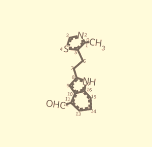 Cc1ncsc1CCc1cc2c(C=O)cccc2[nH]1